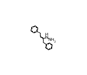 NNC(=CCc1ccccc1)Cc1ccccc1